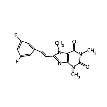 Cn1c(=O)c2c(nc(C=Cc3cc(F)cc(F)c3)n2C)n(C)c1=O